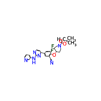 CC(C)(C)OC(=O)N1CCC(Oc2ccc(-c3ccnc(Nc4cccnc4)n3)cc2C#N)C(F)(F)C1